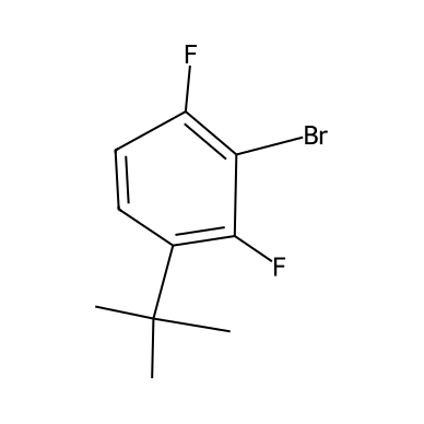 CC(C)(C)c1ccc(F)c(Br)c1F